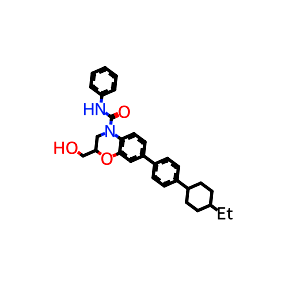 CCC1CCC(c2ccc(-c3ccc4c(c3)OC(CO)CN4C(=O)Nc3ccccc3)cc2)CC1